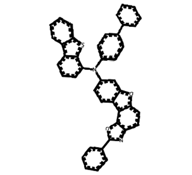 c1ccc(-c2ccc(N(c3ccc4c(c3)oc3ccc5nc(-c6ccccc6)oc5c34)c3cccc4c3sc3ccccc34)cc2)cc1